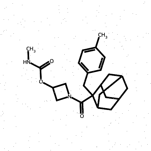 CNC(=O)OC1CN(C(=O)C2(Cc3ccc(C)cc3)C3CC4CC(C3)CC2C4)C1